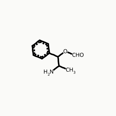 CC(N)C(OC=O)c1ccccc1